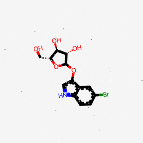 OC[C@H]1OC(Oc2c[nH]c3ccc(Br)cc23)[C@@H](O)[C@@H]1O